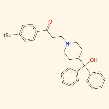 CC(C)(C)c1ccc(C(=O)CCN2CCC(C(O)(c3ccccc3)c3ccccc3)CC2)cc1